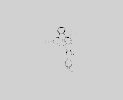 CCC(C#N)NC(=O)c1ccccc1-c1nc(Nc2cnn(C3CCN(C)CC3)c2)ncc1C